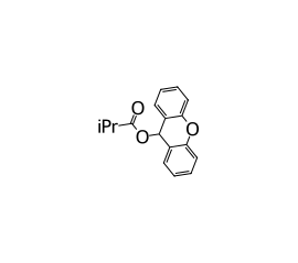 CC(C)C(=O)OC1c2ccccc2Oc2ccccc21